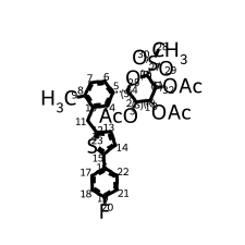 CC(=O)O[C@@H]1[C@@H](OC(C)=O)[C@H](c2ccc(C)c(Cc3ccc(-c4ccc(F)cc4)s3)c2)O[C@H](S(C)(=O)=O)[C@H]1OC(C)=O